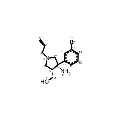 C=CCN1C[C@@H](CO)[C@](N)(c2cccc(Br)c2)C1